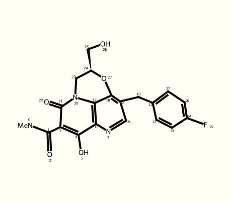 CNC(=O)c1c(O)c2ncc(Cc3ccc(F)cc3)c3c2n(c1=O)C[C@@H](CO)O3